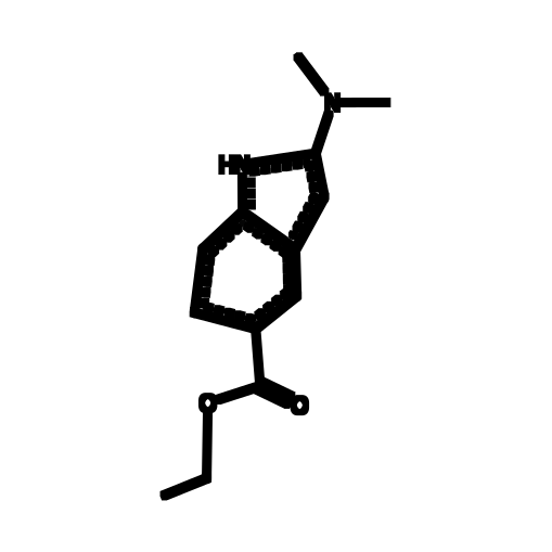 CCOC(=O)c1ccc2[nH]c(N(C)C)cc2c1